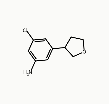 Nc1cc(Cl)cc(C2CCOC2)c1